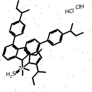 CCC1=Cc2c(-c3ccc(C(C)CC)cc3)cccc2[CH]1[Zr]([CH3])([CH3])(=[SiH2])[CH]1C(C(C)CC)=Cc2c(-c3ccc(C(C)CC)cc3)cccc21.Cl.Cl